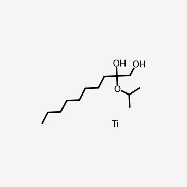 CCCCCCCCC(O)(CO)OC(C)C.[Ti]